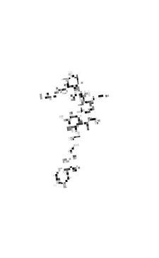 COc1cc(C(=O)N(C)c2ccc(C)cc2OCCCCCC(=O)N2CCN(C)CC2)ccc1NC(=O)c1ccccc1OCC(=O)O